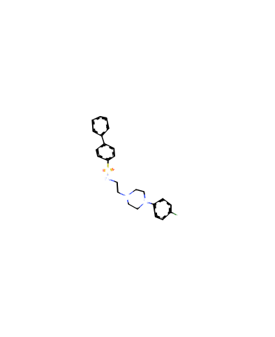 O=S(=O)(NCCN1CCN(c2ccc(Cl)cc2)CC1)c1ccc(-c2ccccc2)cc1